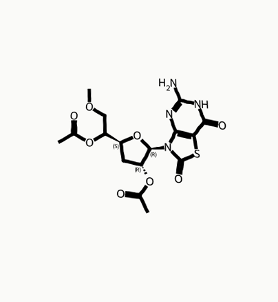 COCC(OC(C)=O)[C@@H]1C[C@@H](OC(C)=O)[C@H](n2c(=O)sc3c(=O)[nH]c(N)nc32)O1